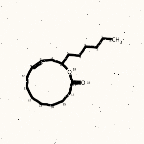 CCCCCCC1CC=CCCCCCCCC(=O)O1